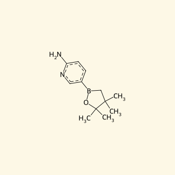 CC1(C)CB(c2ccc(N)nc2)OC1(C)C